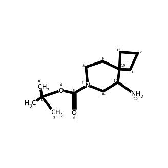 CC(C)(C)OC(=O)N1CCC2(CCC2)C(N)C1